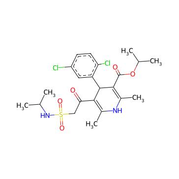 CC1=C(C(=O)CS(=O)(=O)NC(C)C)C(c2cc(Cl)ccc2Cl)C(C(=O)OC(C)C)=C(C)N1